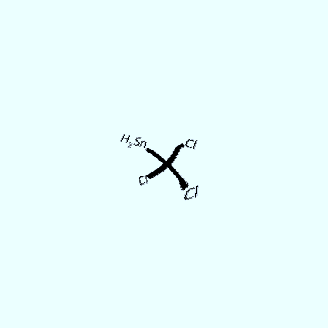 Cl[C](Cl)(Cl)[SnH3]